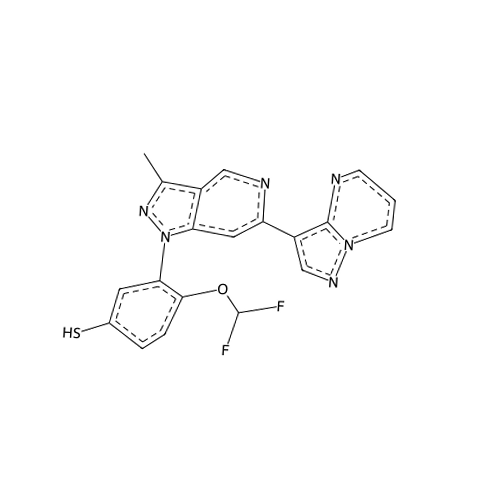 Cc1nn(-c2cc(S)ccc2OC(F)F)c2cc(-c3cnn4cccnc34)ncc12